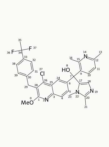 COc1nc2ccc(C(O)(c3ccc(C)nc3C)c3cnc(C)n3C)cc2c(Cl)c1Cc1ccc(C(C)(F)F)cc1